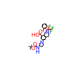 CC(C)(C)OC(=O)NC1CCN(c2cc3c(c(C(=O)O)c2)[C@H](Cc2ccccc2)N(C(=O)C(F)(F)F)CC3)C1